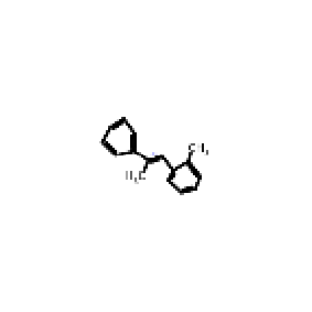 C/C(=C\c1ccccc1C)c1ccccc1